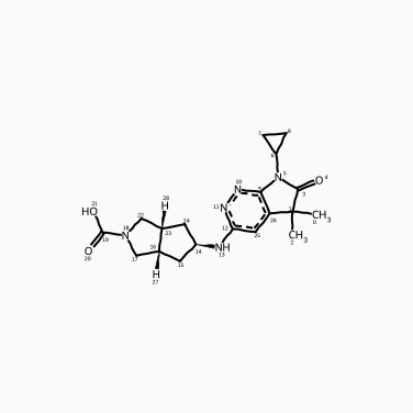 CC1(C)C(=O)N(C2CC2)c2nnc(N[C@H]3C[C@@H]4CN(C(=O)O)C[C@@H]4C3)cc21